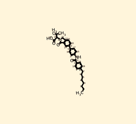 CCCCCCCCc1ccc(C(=O)Nc2ccc(-c3ccc4c(c3)C(=O)N(C(C(=O)O)C(C)C)C4)cc2)cc1